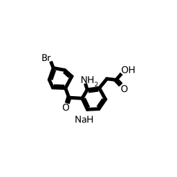 Nc1c(CC(=O)O)cccc1C(=O)c1ccc(Br)cc1.[NaH]